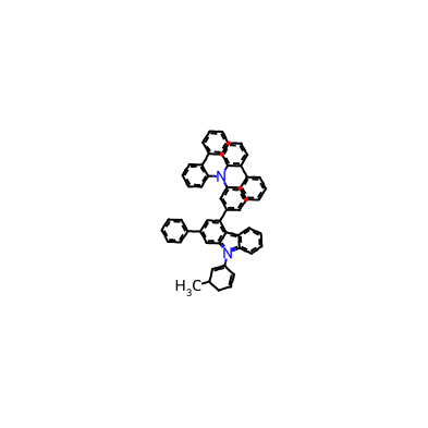 CC1C=C(n2c3ccccc3c3c(-c4cccc(N(c5ccccc5-c5ccccc5)c5ccccc5-c5ccccc5)c4)cc(-c4ccccc4)cc32)C=CC1